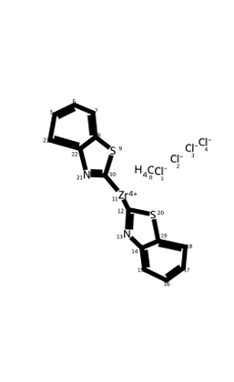 C.[Cl-].[Cl-].[Cl-].[Cl-].c1ccc2s[c]([Zr+4][c]3nc4ccccc4s3)nc2c1